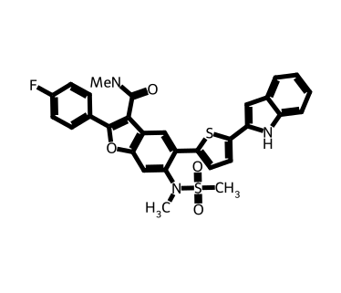 CNC(=O)c1c(-c2ccc(F)cc2)oc2cc(N(C)S(C)(=O)=O)c(-c3ccc(-c4cc5ccccc5[nH]4)s3)cc12